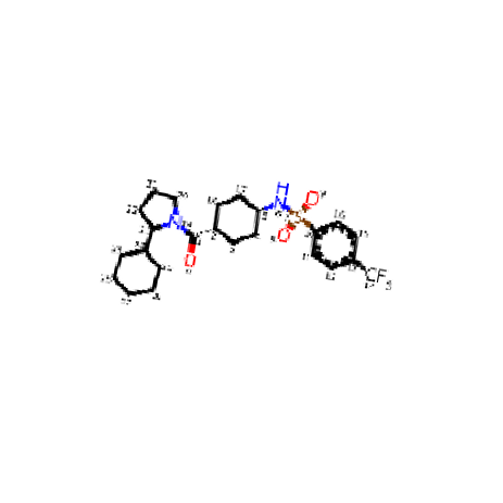 O=C([C@H]1CC[C@H](NS(=O)(=O)c2ccc(C(F)(F)F)cc2)CC1)N1CCCC1C1CCCCC1